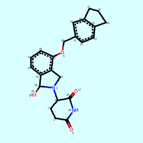 O=C1CCC(N2Cc3c(OCc4ccc5c(c4)CCC5)cccc3C2O)C(=O)N1